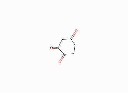 O=C1CCC(=O)C(=O)C1